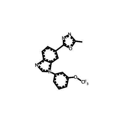 Cc1nnc(-c2ccc3ncn(-c4cccc(OC(F)(F)F)c4)c3c2)o1